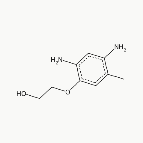 Cc1cc(OCCO)c(N)cc1N